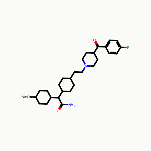 COC1CCC(C(C(N)=O)C2CCC(CCN3CCC(C(=O)c4ccc(F)cc4)CC3)CC2)CC1